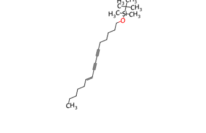 CCCCCC=CC#CC#CCCCCCO[Si](C)(C)C(C)(C)C